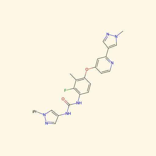 Cc1c(Oc2ccnc(-c3cnn(C)c3)c2)ccc(NC(=O)Nc2cnn(C(C)C)c2)c1F